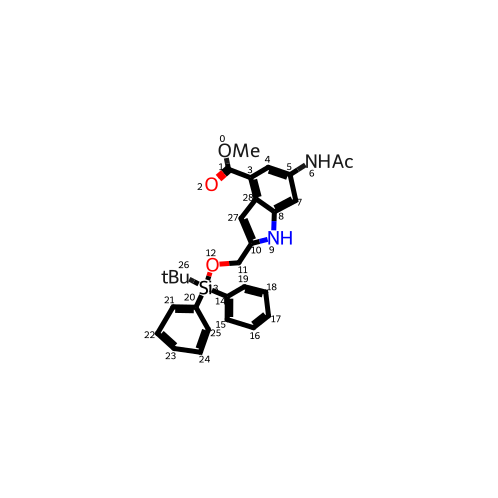 COC(=O)c1cc(NC(C)=O)cc2[nH]c(CO[Si](c3ccccc3)(c3ccccc3)C(C)(C)C)cc12